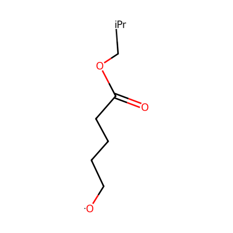 CC(C)COC(=O)CCCC[O]